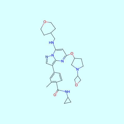 Cc1cc(-c2cnn3c(NCC4CCOCC4)cc(OC4CCN(C5COC5)C4)nc23)ccc1C(=O)NC1CC1